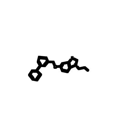 CCCN1CSc2cc(OCc3cccc(-c4ccccc4)c3)ccc21